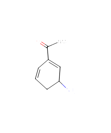 CNC(=O)C1=CC(N)CC=C1